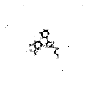 CCCNc1nc(-c2ccccc2)c(-c2ccc(=O)n(C(C)C)n2)s1